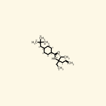 C=CCC(CC)(CC)NC(=O)C1CCC(CC(C)(C)C)CC1